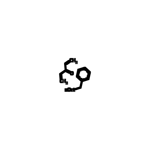 C=CC(=O)C=C.CCCCCCCCCc1ccccc1